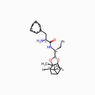 CC(C)C[C@H](NC(=O)[C@@H](N)Cc1ccccc1)B1OC2CC3C[C@@H](C3(C)C)[C@]2(C)O1